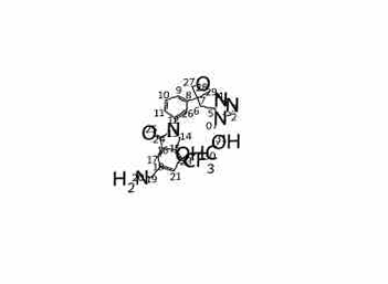 Cn1cnnc1CC1(c2cccc(N3Cc4c(cc(CN)cc4C(F)(F)F)C3=O)c2)COC1.O=CO